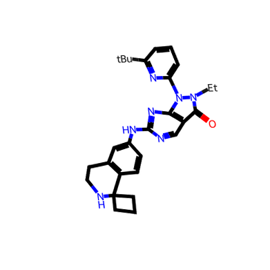 CCn1c(=O)c2cnc(Nc3ccc4c(c3)CCNC43CCC3)nc2n1-c1cccc(C(C)(C)C)n1